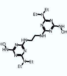 CCN(CC)c1nc(NO)nc(NCCNc2nc(NO)nc(N(CC)CC)n2)n1